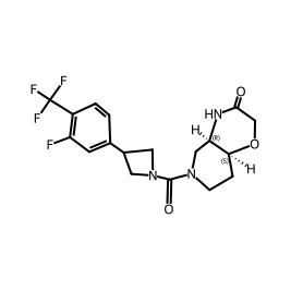 O=C1CO[C@H]2CCN(C(=O)N3CC(c4ccc(C(F)(F)F)c(F)c4)C3)C[C@H]2N1